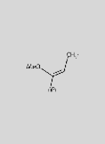 [CH2]/C=C(/CCC)OC